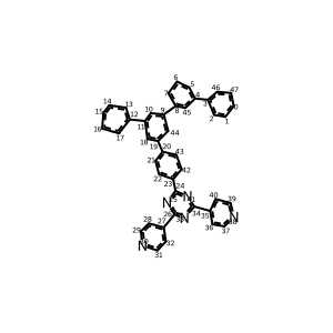 c1ccc(-c2cccc(-c3cc(-c4ccccc4)cc(-c4ccc(-c5nc(-c6ccncc6)nc(-c6ccncc6)n5)cc4)c3)c2)cc1